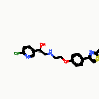 Cc1nc(-c2ccc(OCCNC[C@H](O)c3ccc(Cl)nc3)cc2)cs1